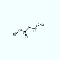 CCOC(=O)CNC=O